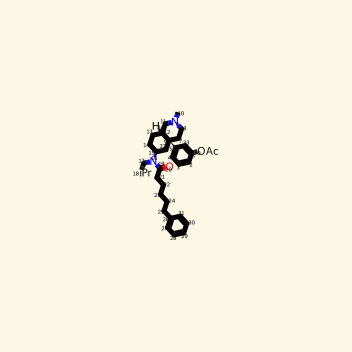 CC(=O)Oc1cccc([C@@]23CCN(C)C[C@H]2CC[C@H](N(CC(C)C)C(=O)CCCCCc2ccccc2)C3)c1